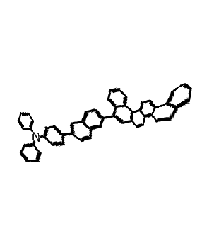 c1ccc(N(c2ccccc2)c2ccc(-c3ccc4cc(-c5cc6ccc7c8ccc9ccccc9c8ccc7c6c6ccccc56)ccc4c3)cc2)cc1